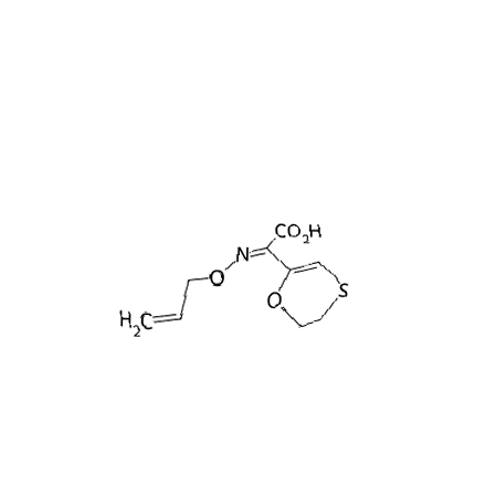 C=CCO/N=C(/C(=O)O)C1=CSCCO1